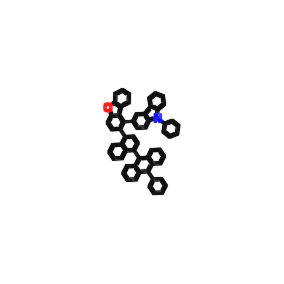 c1ccc(-c2c3ccccc3c(-c3ccc(-c4ccc5oc6ccccc6c5c4-c4ccc5c(c4)c4ccccc4n5-c4ccccc4)c4ccccc34)c3ccccc23)cc1